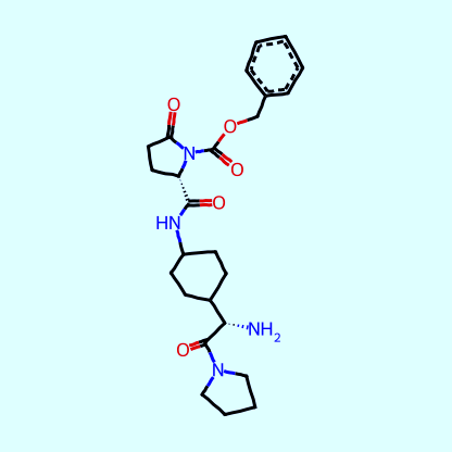 N[C@H](C(=O)N1CCCC1)C1CCC(NC(=O)[C@@H]2CCC(=O)N2C(=O)OCc2ccccc2)CC1